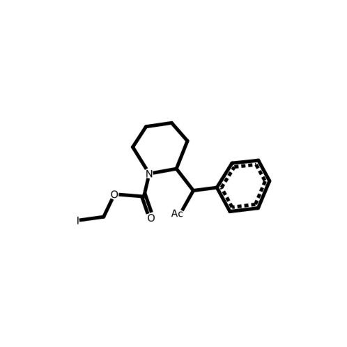 CC(=O)C(c1ccccc1)C1CCCCN1C(=O)OCI